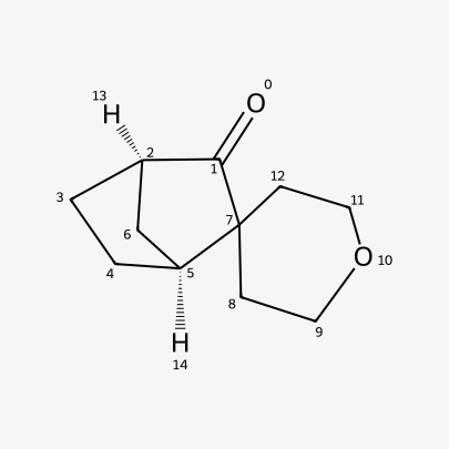 O=C1[C@@H]2CC[C@@H](C2)C12CCOCC2